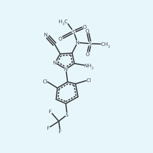 CS(=O)(=O)N(c1c(C#N)nn(-c2c(Cl)cc(SC(F)(F)F)cc2Cl)c1N)S(C)(=O)=O